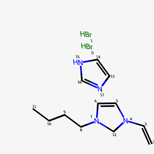 Br.Br.C=CN1C=CN(CCCC)C1.c1c[nH]cn1